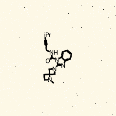 CC(C)C#CCNC(=O)n1c(N2CC3(CCN3C)C2)nc2ccccc21